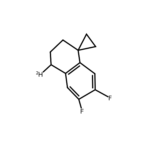 [2H]C1CCC2(CC2)c2cc(F)c(F)cc21